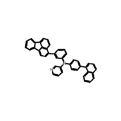 c1cncc(N(c2ccc(-c3cccc4ccccc34)cc2)c2cccc(-c3ccc4c5c(cccc35)-c3ccccc3-4)c2)c1